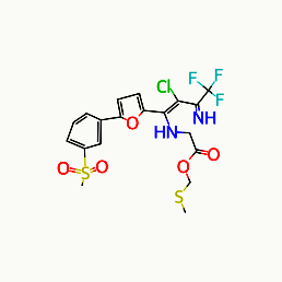 CSCOC(=O)CN/C(=C(/Cl)C(=N)C(F)(F)F)c1ccc(-c2cccc(S(C)(=O)=O)c2)o1